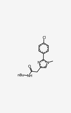 CCCCNC(=O)Cc1cn(C)c(-c2ccc(Cl)cc2)n1